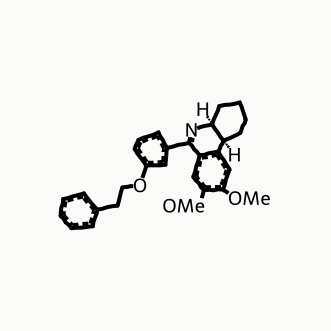 COc1cc2c(cc1OC)[C@@H]1CCCC[C@@H]1N=C2c1cccc(OCCc2ccccc2)c1